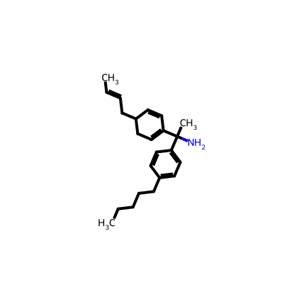 CC=CCC1C=CC(C(C)(N)c2ccc(CCCCC)cc2)=CC1